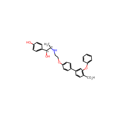 C[C@@H](NCCOc1ccc(-c2ccc(C(=O)O)c(Oc3ccccc3)c2)cc1)[C@@H](O)c1ccc(O)cc1